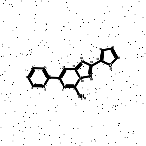 Nc1nc(-c2ccccn2)cc2nc(-c3ccco3)nn12